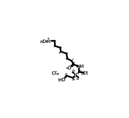 CCCCCCCCCCCCCCCCCC(=O)NC(CC)[N+](C)(C)CCO.[Cl-]